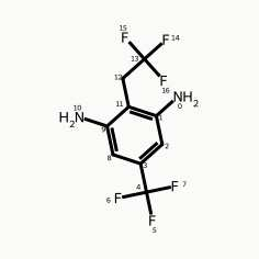 Nc1cc(C(F)(F)F)cc(N)c1CC(F)(F)F